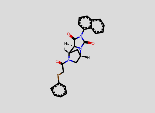 O=C1[C@@H]2[C@@H]3C[C@@H](CN3C(=O)CSc3ccccc3)N2C(=O)N1c1cccc2ccccc12